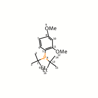 CCC(C)(C)P(c1ccc(OC)cc1OC)C(C)(C)CC